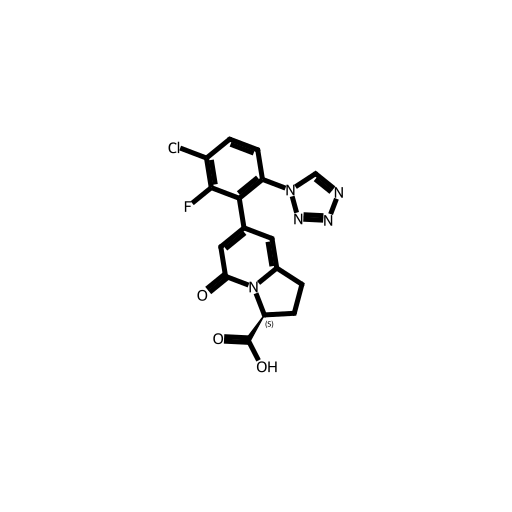 O=C(O)[C@@H]1CCc2cc(-c3c(-n4cnnn4)ccc(Cl)c3F)cc(=O)n21